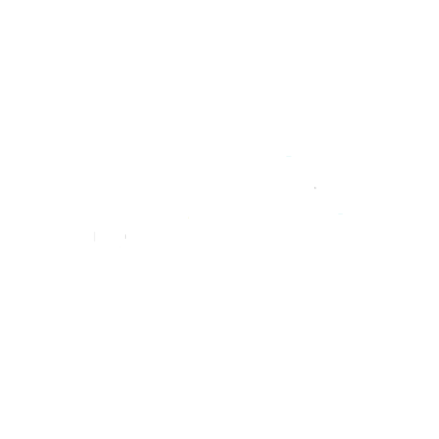 CC(SCCCC(C)(F)F)C(=O)O